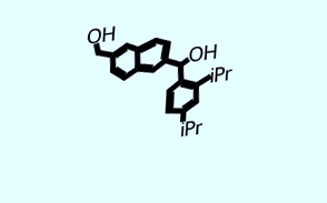 CC(C)c1ccc(C(O)c2ccc3cc(CO)ccc3c2)c(C(C)C)c1